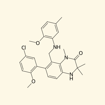 COc1ccc(C)cc1NCc1c(-c2cc(Cl)ccc2OC)ccc2c1N(C)C(=O)C(C)(C)N2